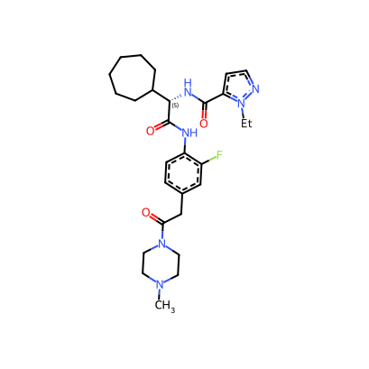 CCn1nccc1C(=O)N[C@H](C(=O)Nc1ccc(CC(=O)N2CCN(C)CC2)cc1F)C1CCCCCC1